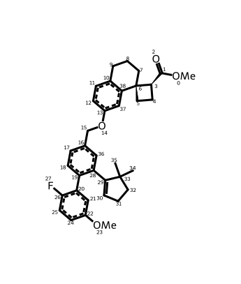 COC(=O)[C@H]1CC[C@@]12CCCc1ccc(OCc3ccc(-c4cc(OC)ccc4F)c(C4=CCCC4(C)C)c3)cc12